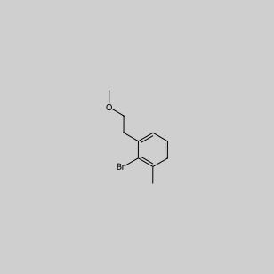 COCCc1cccc(C)c1Br